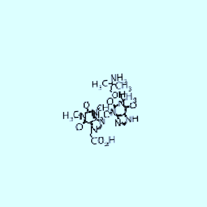 CC(C)(N)CO.Cn1c(=O)c2[nH]cnc2n(C)c1=O.Cn1c(=O)c2c(ncn2CC(=O)O)n(C)c1=O